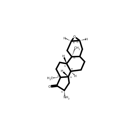 C[C@]12C[C@H]3O[C@H]3CC1CC[C@@H]1[C@@H]2CC[C@]2(C)C(=O)[C@@H](N)C[C@@H]12